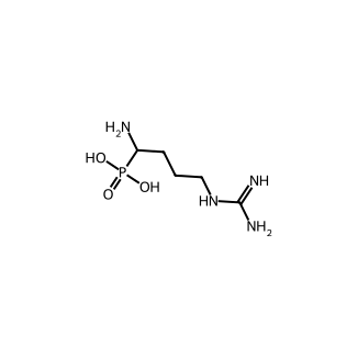 N=C(N)NCCCC(N)P(=O)(O)O